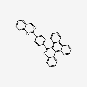 c1ccc2nc(-c3ccc(-c4nc5ccccc5c5c6ccccc6c6ccccc6c45)cc3)ncc2c1